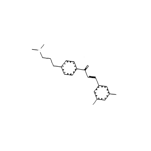 CN(C)CCCc1ccc(C(=O)C=Cc2cc(Cl)cc(Cl)c2)cc1.Cl